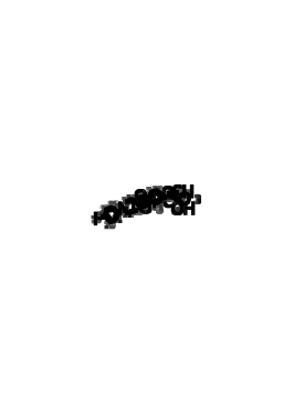 CC(C)(Oc1ccc(S(=O)(=O)N2CCN(c3ccc(F)cc3)CC2)cc1)C(=O)O